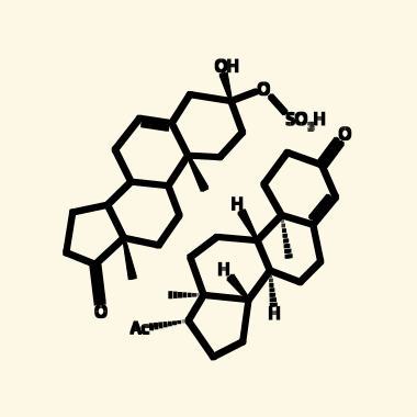 CC(=O)[C@H]1CC[C@H]2[C@@H]3CCC4=CC(=O)CC[C@]4(C)[C@H]3CC[C@]12C.C[C@]12CC[C@@](O)(OS(=O)(=O)O)CC1=CCC1C2CC[C@]2(C)C(=O)CCC12